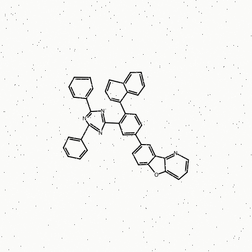 c1ccc(-c2nc(-c3ccccc3)nc(-c3cc(-c4ccc5oc6cccnc6c5c4)ccc3-c3cccc4ccccc34)n2)cc1